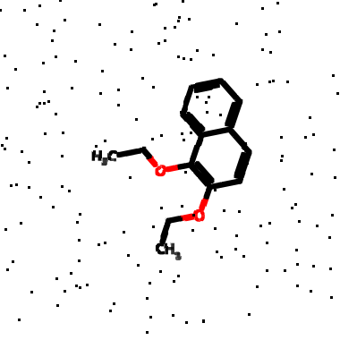 CCOc1ccc2ccccc2c1OCC